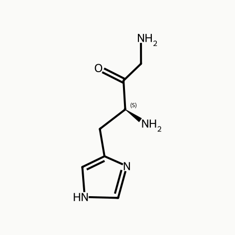 NCC(=O)[C@@H](N)Cc1c[nH]cn1